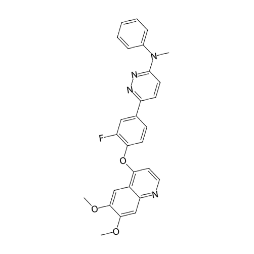 COc1cc2nccc(Oc3ccc(-c4ccc(N(C)c5ccccc5)nn4)cc3F)c2cc1OC